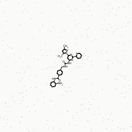 Cc1cc(C)n(-c2cc(NC(=O)NCc3ccc(C(=O)Nc4ccccc4N)cc3)nc(-c3ccccn3)n2)n1